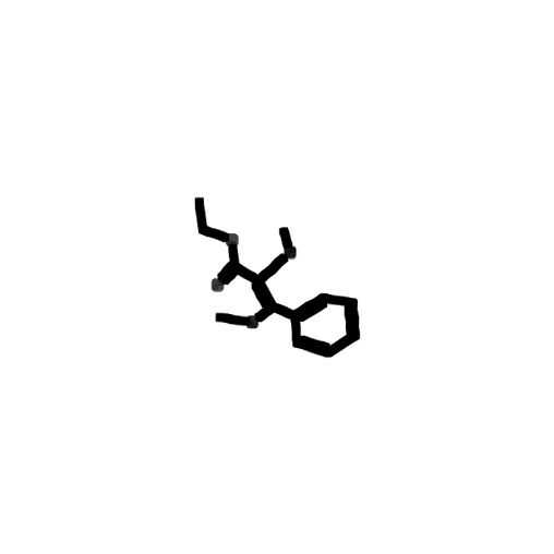 CCOC(=O)C(OC)=C(OC)c1ccccc1